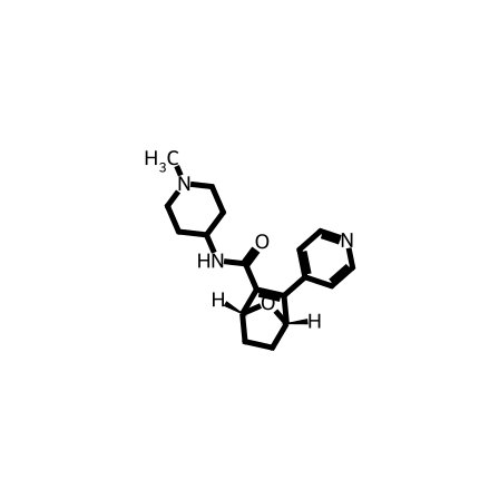 CN1CCC(NC(=O)C2=C(c3ccncc3)[C@@H]3CC[C@H]2O3)CC1